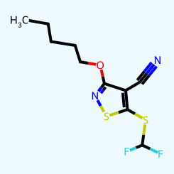 CCCCCOc1nsc(SC(F)F)c1C#N